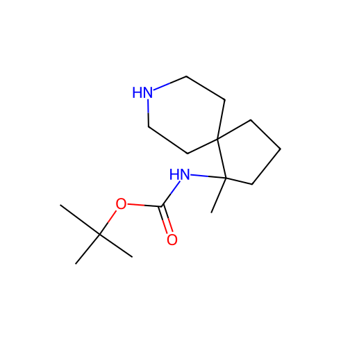 CC(C)(C)OC(=O)NC1(C)CCCC12CCNCC2